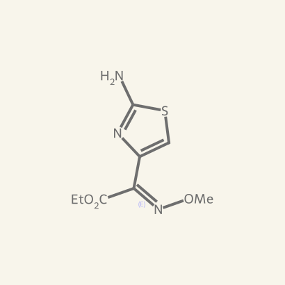 CCOC(=O)/C(=N/OC)c1csc(N)n1